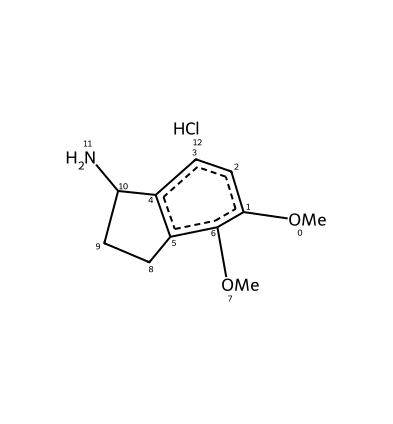 COc1ccc2c(c1OC)CCC2N.Cl